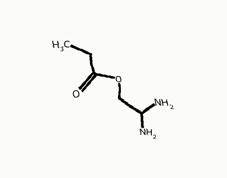 CCC(=O)OCC(N)N